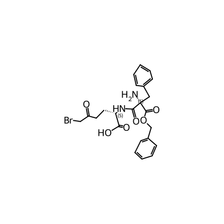 N[C@@](Cc1ccccc1)(C(=O)N[C@@H](CCC(=O)CBr)C(=O)O)C(=O)OCc1ccccc1